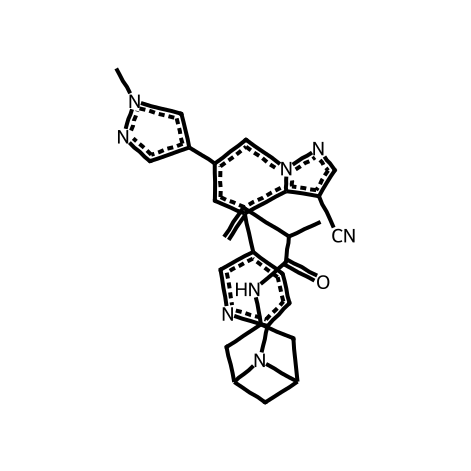 C=CC(C)C(=O)NC1CC2CC(C1)N2c1ccc(-c2cc(-c3cnn(C)c3)cn3ncc(C#N)c23)cn1